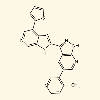 Cc1ccncc1-c1cnc2[nH]nc(-c3nc4c(-c5cccs5)cncc4[nH]3)c2c1